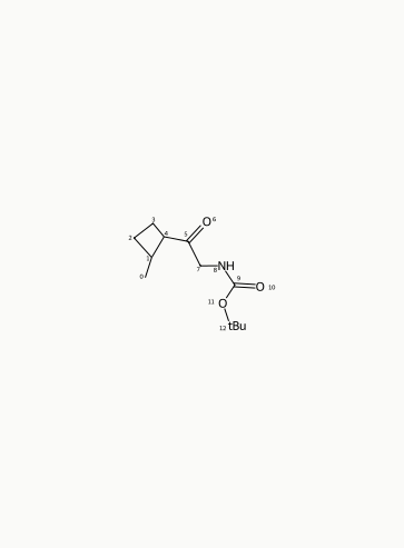 CC1CCC1C(=O)CNC(=O)OC(C)(C)C